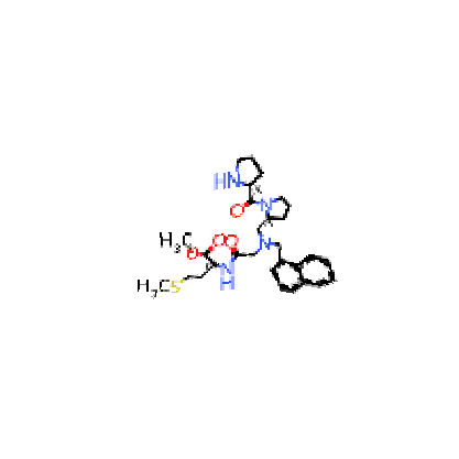 COC(=O)[C@H](CCSC)NC(=O)CN(Cc1cccc2ccccc12)C[C@@H]1CCCN1C(=O)[C@@H]1CCCN1